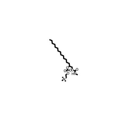 CCCCCCCCCCCCCCC(COC(=O)NC)OP(=O)([O-])OCC[N+](C)(C)C